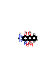 Cn1cnc2/c(=N/O)c3c(=O)c4ccccc4c(=O)c=3c(=O)c21